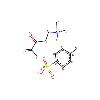 C=C(C)C(=O)CC[N+](C)(C)C.Cc1ccc(S(=O)(=O)O)cc1